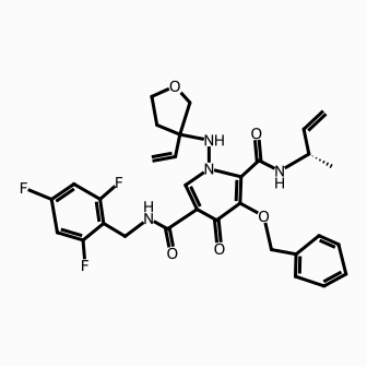 C=C[C@H](C)NC(=O)c1c(OCc2ccccc2)c(=O)c(C(=O)NCc2c(F)cc(F)cc2F)cn1NC1(C=C)CCOC1